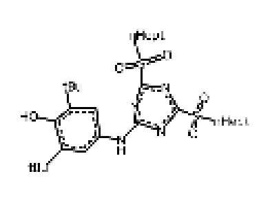 CCCCCCCS(=O)(=O)c1nc(Nc2cc(C(C)(C)C)c(O)c(C(C)(C)C)c2)nc(S(=O)(=O)CCCCCCC)n1